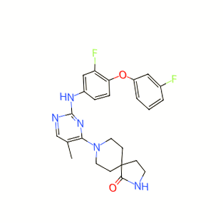 Cc1cnc(Nc2ccc(Oc3cccc(F)c3)c(F)c2)nc1N1CCC2(CCNC2=O)CC1